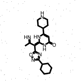 CC(=N)/C(=C1/NC(=O)C=C(C2CCNCC2)N1)c1nc(C2CCCCC2)no1